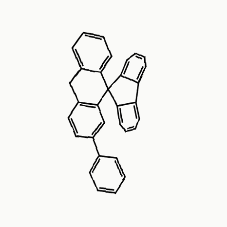 c1ccc(-c2ccc3c(c2)C2(c4ccccc4C3)c3ccccc3-c3ccccc32)cc1